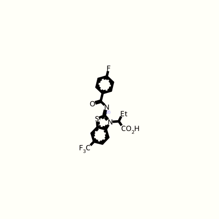 CCC(C(=O)O)n1/c(=N/C(=O)c2ccc(F)cc2)sc2cc(C(F)(F)F)ccc21